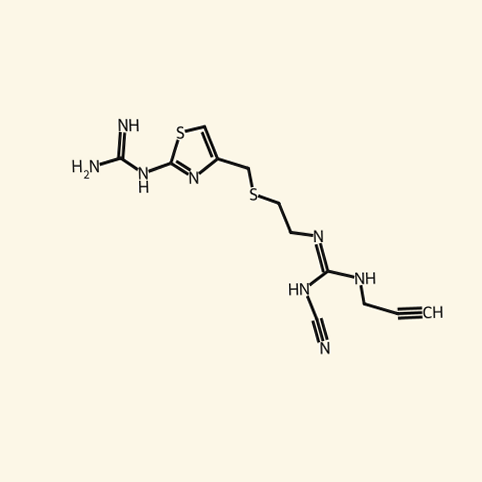 C#CCN/C(=N/CCSCc1csc(NC(=N)N)n1)NC#N